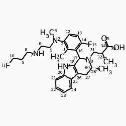 Cc1c(N(C)CCNCCCF)ccc(F)c1C1c2[nH]c3ccccc3c2C[C@@H](C)N1CC(C)C(=O)O